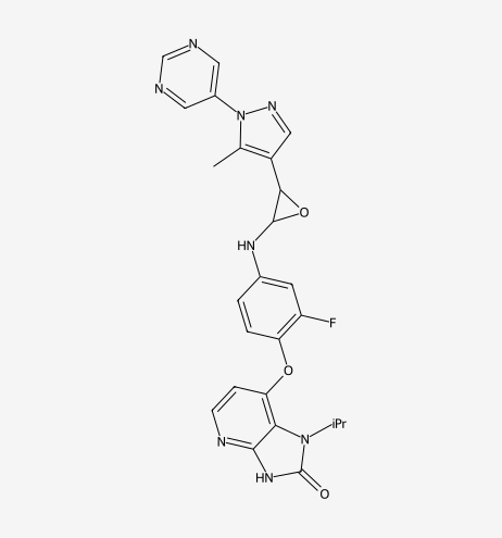 Cc1c(C2OC2Nc2ccc(Oc3ccnc4[nH]c(=O)n(C(C)C)c34)c(F)c2)cnn1-c1cncnc1